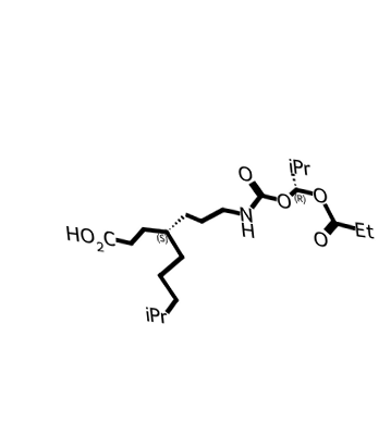 CCC(=O)O[C@H](OC(=O)NCCC[C@H](CCCC(C)C)CCC(=O)O)C(C)C